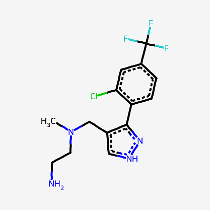 CN(CCN)Cc1c[nH]nc1-c1ccc(C(F)(F)F)cc1Cl